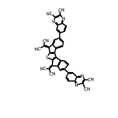 N#CC(C#N)=C1c2cc(-c3ccc4nc(C#N)c(C#N)nc4c3)ccc2-c2c1sc1c2-c2ccc(-c3ccc4nc(C#N)c(C#N)nc4c3)cc2C1=C(C#N)C#N